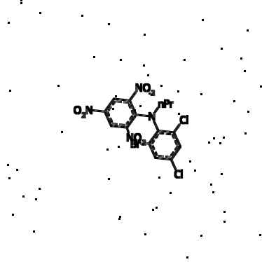 CCCN(c1c(Cl)cc(Cl)cc1Br)c1c([N+](=O)[O-])cc([N+](=O)[O-])cc1[N+](=O)[O-]